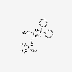 CCCCCCCCC(CCO[Si](C)(C)C(C)(C)C)O[Si](c1ccccc1)(c1ccccc1)C(C)(C)C